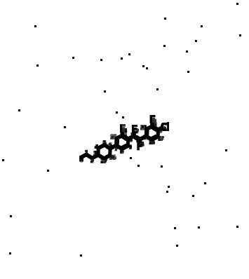 CCCC1CCC(c2ccc(/C(F)=C(\F)c3ccc(Cl)c(F)c3)c(F)c2)CC1